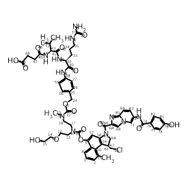 Cc1cccc2c(OC(=O)N(CCOCCO)CCN(C)C(=O)OCc3ccc(NC(=O)[C@H](CCCNC(N)=O)NC(=O)[C@@H](NC(=O)CCC(=O)O)C(C)C)cc3)cc3c(c12)[C@H](CCl)CN3C(=O)c1cn2cc(NC(=O)c3ccc(O)cc3)ccc2n1